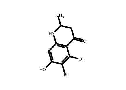 CC1CC(=O)c2c(cc(O)c(Br)c2O)N1